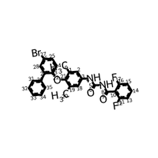 Cc1cc(NC(=O)NC(=O)c2c(F)cccc2F)cc(C)c1Oc1ccc(Br)cc1-c1ccccc1